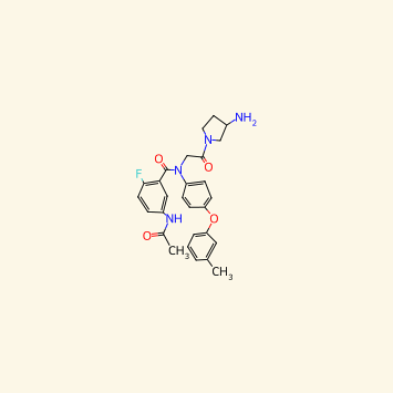 CC(=O)Nc1ccc(F)c(C(=O)N(CC(=O)N2CCC(N)C2)c2ccc(Oc3cccc(C)c3)cc2)c1